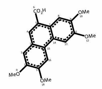 COc1cc2cc(C(=O)O)c3cc(OC)c(OC)cc3c2cc1OC